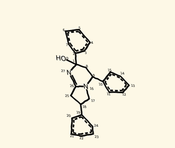 OC1(c2ccccc2)CC(c2ccccc2)N2CC(c3ccccc3)CC2=N1